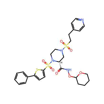 O=C(NOC1CCCCO1)[C@H]1CN(S(=O)(=O)CCc2ccncc2)CCN1S(=O)(=O)c1ccc(-c2ccccc2)s1